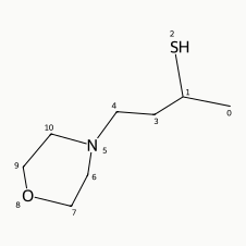 CC(S)CCN1CCOCC1